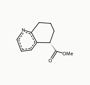 COC(=O)[C@H]1CCCc2ncccc21